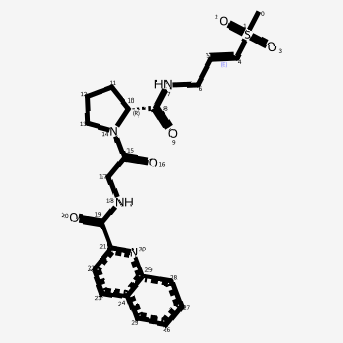 CS(=O)(=O)/C=C/CNC(=O)[C@H]1CCCN1C(=O)CNC(=O)c1ccc2ccccc2n1